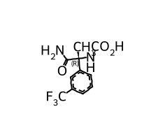 C[C@](NC(=O)O)(C(N)=O)c1cccc(C(F)(F)F)c1